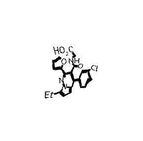 CCc1ccc2c(-c3cccc(Cl)c3)c(C(=O)NCC(=O)O)c(-c3ccco3)nn12